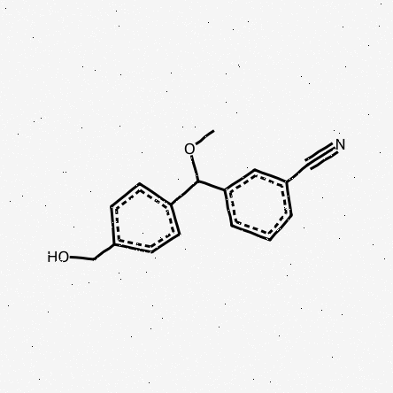 COC(c1ccc(CO)cc1)c1cccc(C#N)c1